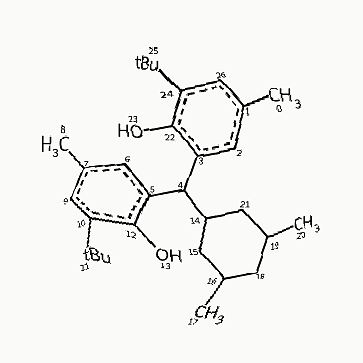 Cc1cc(C(c2cc(C)cc(C(C)(C)C)c2O)C2CC(C)CC(C)C2)c(O)c(C(C)(C)C)c1